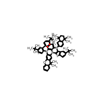 Cc1cc2c3c(c1)N(c1ccc4c(c1)C(C)(C)CCC4(C)C)c1c(sc4ccc(C(C)(C)C)cc14)B3c1cc3c(cc1N2c1ccc(C(C)(C)C)cc1-c1ccc(C(C)(C)C)cc1)Oc1ccccc1C3(C)C